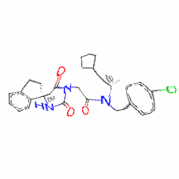 C[C@@H](C1CCC1)N(Cc1ccc(Cl)cc1)C(=O)CN1C(=O)N[C@]2(CCc3ccccc32)C1=O